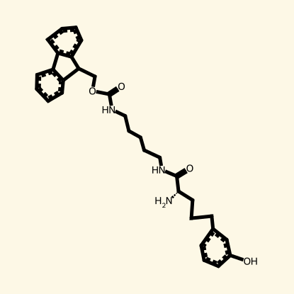 N[C@@H](CCCc1cccc(O)c1)C(=O)NCCCCCNC(=O)OCC1c2ccccc2-c2ccccc21